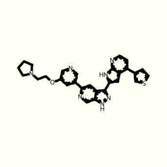 c1cc(-c2ccsc2)c2cc(-c3n[nH]c4cnc(-c5cncc(OCCN6CCCC6)c5)cc34)[nH]c2n1